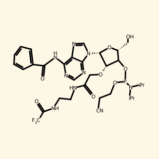 CC(C)N(C(C)C)P(OCCC#N)OC1[C@@H](CO)O[C@@H](n2cnc3c(NC(=O)c4ccccc4)ncnc32)[C@H]1OCC(=O)NCCNC(=O)C(F)(F)F